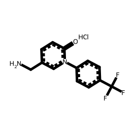 Cl.NCc1ccc(=O)n(-c2ccc(C(F)(F)F)cc2)c1